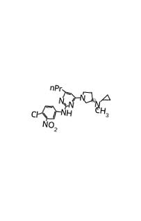 CCCc1cc(N2CC[C@H](N(C)C3CC3)C2)nc(Nc2ccc(Cl)c([N+](=O)[O-])c2)n1